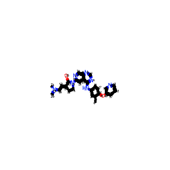 Cc1cc(Nc2ncnc3cnc(N4CC/C(=C\CN(C)C)C4=O)cc23)ccc1Oc1cccnc1